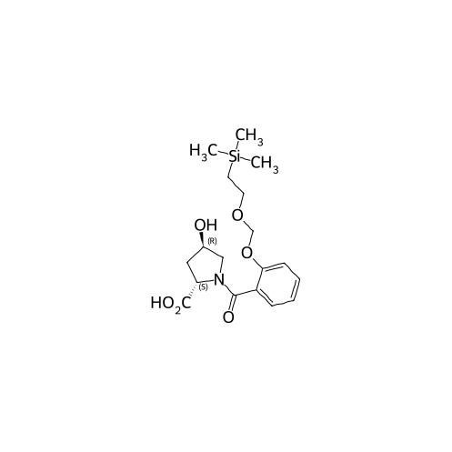 C[Si](C)(C)CCOCOc1ccccc1C(=O)N1C[C@H](O)C[C@H]1C(=O)O